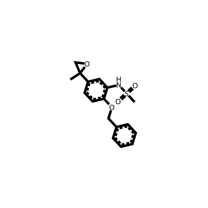 CC1(c2ccc(OCc3ccccc3)c(NS(C)(=O)=O)c2)CO1